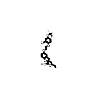 CCCCC1(C(=O)O)Cc2cc(OCCOc3ccc(OC(F)(F)F)cc3Cl)ccc2O1